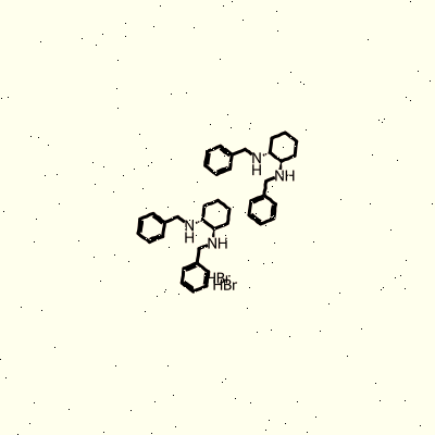 Br.Br.c1ccc(CN[C@@H]2CCCC[C@H]2NCc2ccccc2)cc1.c1ccc(CN[C@@H]2CCCC[C@H]2NCc2ccccc2)cc1